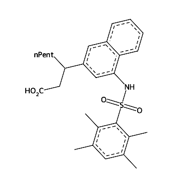 CCCCCC(CC(=O)O)c1cc(NS(=O)(=O)c2c(C)c(C)cc(C)c2C)c2ccccc2c1